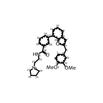 COc1ccc(Cc2cc3cccc(-c4cccc(C(=O)NCCN5CCCC5)c4)c3o2)cc1OC